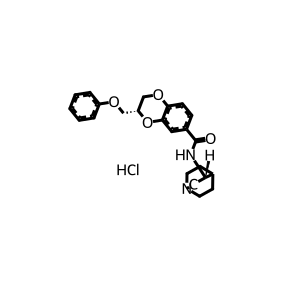 Cl.O=C(N[C@H]1CN2CCC1CC2)c1ccc2c(c1)O[C@H](COc1ccccc1)CO2